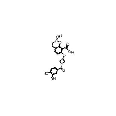 O=C(O)c1c(OC2CN(C(=O)c3ccc(O)c(O)c3)C2)ccc2c1OB(O)CC2